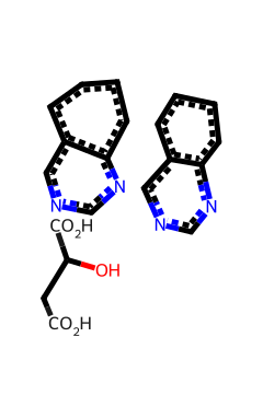 O=C(O)CC(O)C(=O)O.c1ccc2ncncc2c1.c1ccc2ncncc2c1